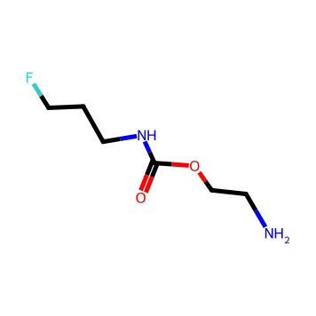 NCCOC(=O)NCCCF